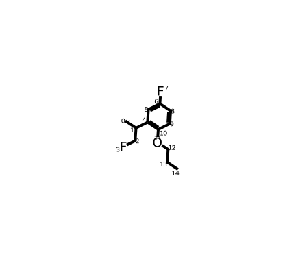 [CH2]C(CF)c1cc(F)ccc1OCCC